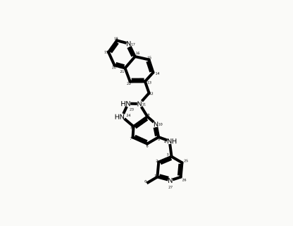 Cc1cc(Nc2ccc3c(n2)N(Cc2ccc4ncccc4c2)NN3)ccn1